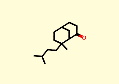 CC(C)CCC1(C)CCC2CCC(=O)C1C2